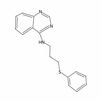 c1ccc(SCCCNc2ncnc3ccccc23)cc1